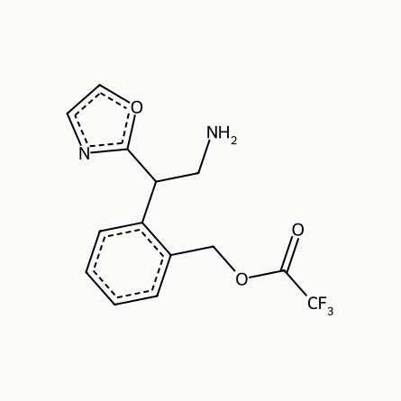 NCC(c1ncco1)c1ccccc1COC(=O)C(F)(F)F